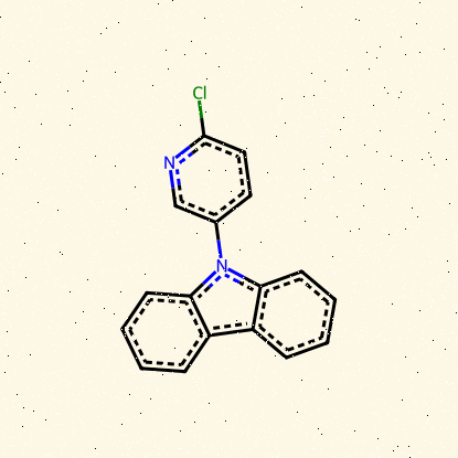 Clc1ccc(-n2c3ccccc3c3ccccc32)cn1